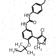 Cn1ncc(Cl)c1-c1cc(NC(=O)Nc2ccc(F)cc2)ccc1OC(C)(C)CN